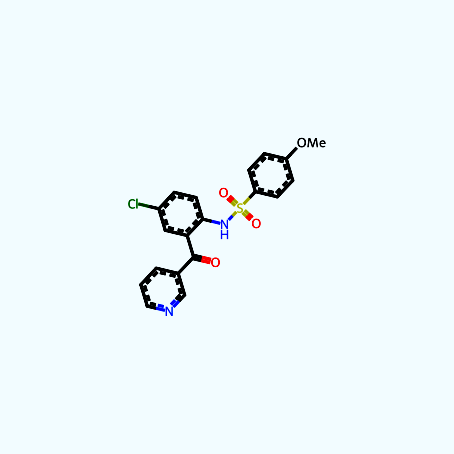 COc1ccc(S(=O)(=O)Nc2ccc(Cl)cc2C(=O)c2cccnc2)cc1